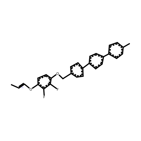 C/C=C/Oc1ccc(OCc2ccc(-c3ccc(-c4ccc(C)cc4)cc3)cc2)c(F)c1F